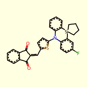 O=C1C(=Cc2ccc(N3c4ccccc4[Si]4(CCCC4)c4cc(F)ccc43)s2)C(=O)c2ccccc21